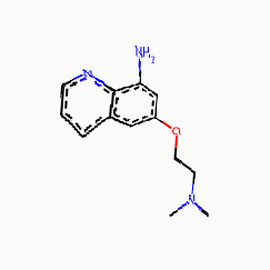 CN(C)CCOc1cc(N)c2ncccc2c1